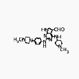 CN1CCC(Nc2nc(Nc3ccc(N4CCN(C)CC4)cc3)nc3[nH]cc(C=O)c23)CC1